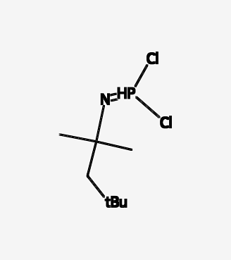 CC(C)(C)CC(C)(C)N=[PH](Cl)Cl